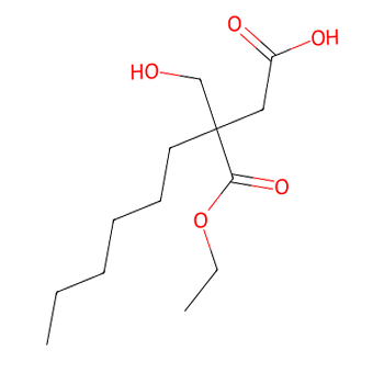 CCCCCCC(CO)(CC(=O)O)C(=O)OCC